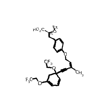 CCO[C@@H](Cc1ccc(OCC=C(C)C#CC2(OCC(F)(F)F)C=CC=C(OCC(F)(F)F)C2)cc1)C(=O)O